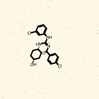 O=C(/N=C(/Nc1cccc(Cl)c1)N[C@H]1CC[C@H](O)CC1)c1ccc(Cl)cc1